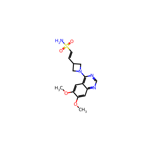 COc1cc2ncnc(N3CC(C=CS(N)(=O)=O)C3)c2cc1OC